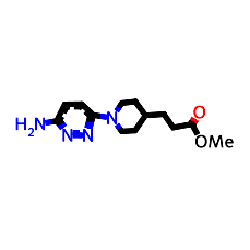 COC(=O)CCC1CCN(c2ccc(N)nn2)CC1